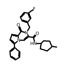 CC1CCC(NC(=O)c2cn3c(-c4ccccc4)ccc3c(=O)n2Cc2cccc(F)c2)CC1